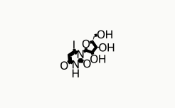 O=c1cc(I)n(C2O[C@H](CO)[C@H](O)C2O)c(=O)[nH]1